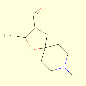 CC1OC2(CCN(C)CC2)CC1C=O